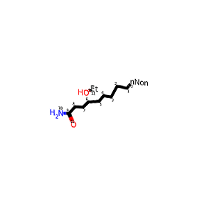 CCCCCCCCCCCCCCCCCC(N)=O.CCO